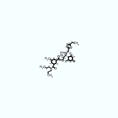 CCCN(CCC)C(=O)c1cc(C)cc(C(=O)N[C@@H](Cc2cc(F)cc(F)c2)[C@H](O)CNCc2nnc(CC)o2)c1